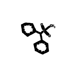 CS(=O)(=O)C(c1ccccc1)c1ccccc1